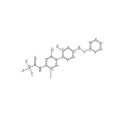 O=C(Nc1cc(Cl)c(-c2ccc(OCc3ccccc3)cc2F)cc1I)C(F)(F)F